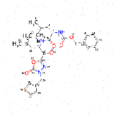 CC(C)C[C@H](NC(=O)OCc1ccccc1)C(=O)N[C@@H](CC(C)C)C(=O)c1nn(Cc2ccsc2)c(=O)o1